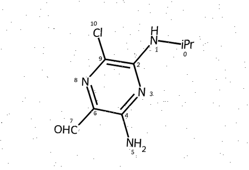 CC(C)Nc1nc(N)c(C=O)nc1Cl